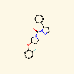 O=C(N1CC[C@@H](Oc2ccccc2F)C1)N1N=CCC1c1ccccc1